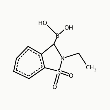 CCN1C(B(O)O)c2ccccc2S1(=O)=O